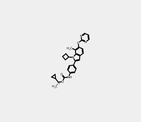 Cc1c(Oc2ncccn2)ccc2cc(-c3ccc(NC(=O)O[C@H](C)C4CC4)cc3)n(C3CCC3)c12